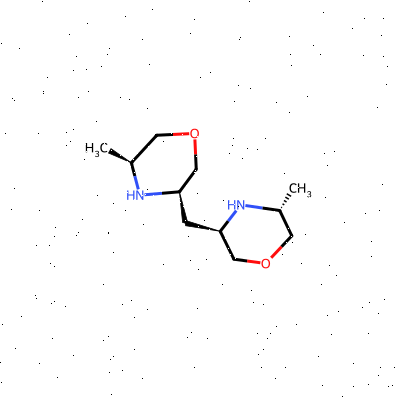 C[C@@H]1COC[C@@H](C[C@@H]2COC[C@H](C)N2)N1